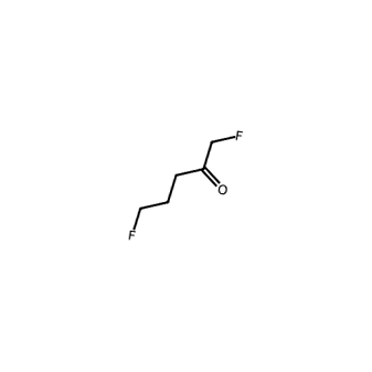 O=C(CF)CCCF